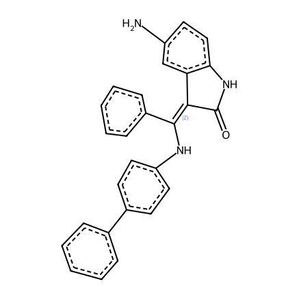 Nc1ccc2c(c1)/C(=C(/Nc1ccc(-c3ccccc3)cc1)c1ccccc1)C(=O)N2